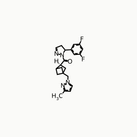 Cc1ccn(CC23CC(C2)[C@@H](C(=O)N2N=CCC2c2cc(F)cc(F)c2)C3)n1